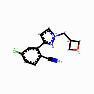 N#Cc1ccc(Cl)cc1-c1ccn(CC2COC2)n1